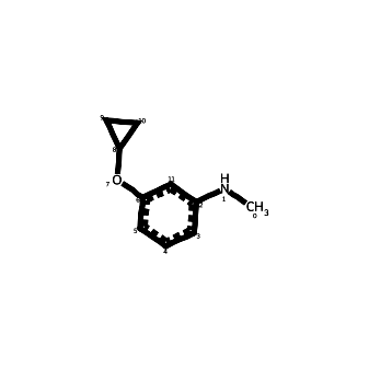 CNc1cccc(OC2CC2)c1